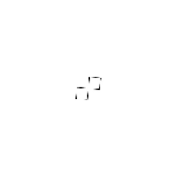 C1CC2(C1)CCC2